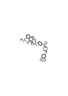 Cc1cccc2nc(SCc3ccc(C(=O)N4CCN(Cc5ccc6c(c5)OCO6)CC4)cc3)n(C)c(=O)c12